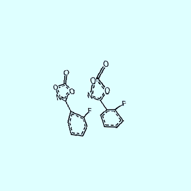 O=c1onc(-c2ccccc2F)o1.O=c1onc(-c2ccccc2F)o1